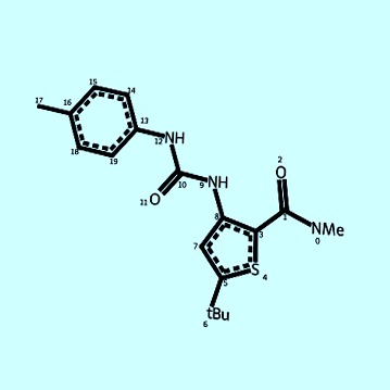 CNC(=O)c1sc(C(C)(C)C)cc1NC(=O)Nc1ccc(C)cc1